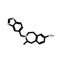 COc1ccc2c(c1)CCN(Cc1ccc3scnc3c1)C(C)C2